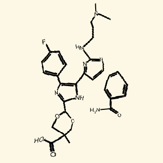 CN(C)CCNc1nccc(-c2[nH]c(C3OCC(C)(C(=O)O)CO3)nc2-c2ccc(F)cc2)n1.NC(=O)c1ccccc1